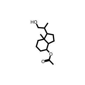 CC(=O)OC1CCCC2(C)C(C(C)CO)CCC12